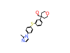 Cc1nccn1-c1ccc(Sc2cccc(C3(C=O)CCOCC3)c2)cc1